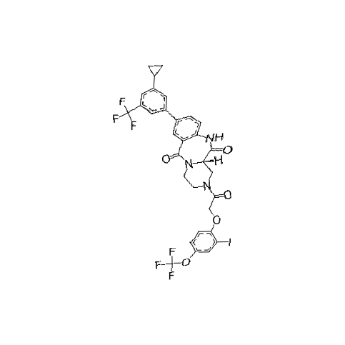 O=C1Nc2ccc(-c3cc(C4CC4)cc(C(F)(F)F)c3)cc2C(=O)N2CCN(C(=O)COc3ccc(OC(F)(F)F)cc3I)C[C@@H]12